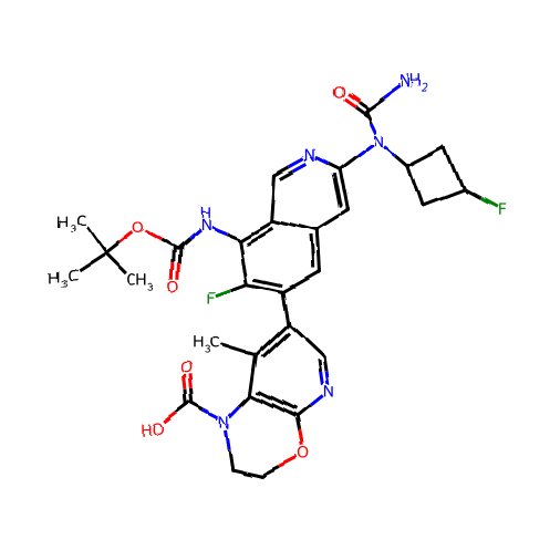 Cc1c(-c2cc3cc(N(C(N)=O)C4CC(F)C4)ncc3c(NC(=O)OC(C)(C)C)c2F)cnc2c1N(C(=O)O)CCO2